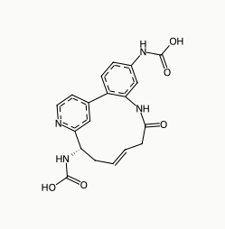 O=C(O)Nc1ccc2c(c1)NC(=O)C/C=C/C[C@H](NC(=O)O)c1cc-2ccn1